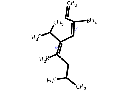 B/C(C=C)=C/C(=C(/N)CC(C)C)C(C)C